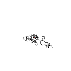 CCn1cc2c(Cl)c(-c3c[nH]c4nc(N5C6CCC5CN(C(=O)OC(C)(C)C)C6)n(C)c(=O)c34)ccc2n1